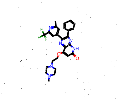 Cc1cc(-c2nc3c(OCCN4CCN(C)CC4)cc(=O)[nH]c3nc2-c2ccccc2)cc(C(F)(F)F)n1